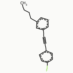 CCCCc1c[c]cc(C#Cc2ccc(F)cc2)c1